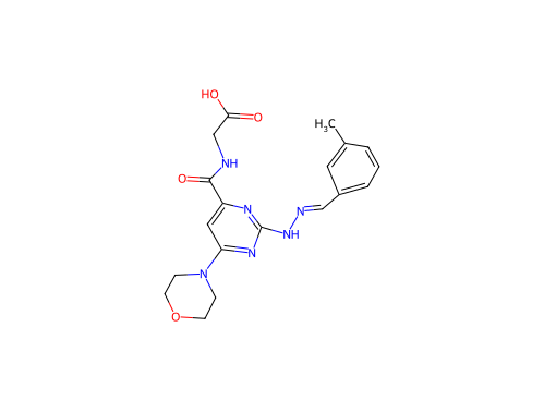 Cc1cccc(C=NNc2nc(C(=O)NCC(=O)O)cc(N3CCOCC3)n2)c1